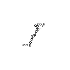 COC(=O)c1ccc(-c2ccc([S+]([O-])Cc3ccc(-c4ccc([S+]([O-])Cc5ccc(C(=O)O)c6ccccc56)cc4)cn3)cc2)cc1